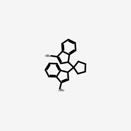 CCCCC1=CC(C2(C3C=C(CCCC)c4ccccc43)CCCC2)c2ccccc21